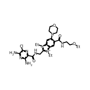 CCOCCNC(=O)c1cc2c(cc1N1CCOCC1)n(CC)c(CNC(=O)c1nc(Cl)c(N)nc1N)[n+]2CC